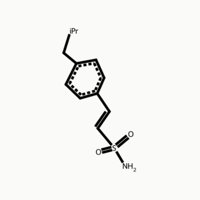 CC(C)Cc1ccc(C=CS(N)(=O)=O)cc1